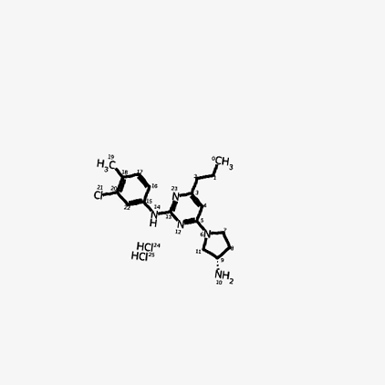 CCCc1cc(N2CC[C@H](N)C2)nc(Nc2ccc(C)c(Cl)c2)n1.Cl.Cl